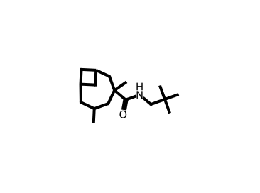 CC1CC2CC(C2)CC(C)(C(=O)NCC(C)(C)C)C1